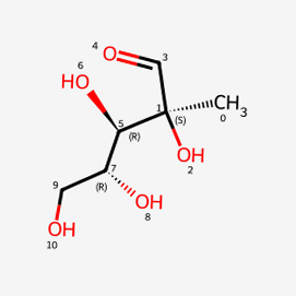 C[C@@](O)(C=O)[C@H](O)[C@H](O)CO